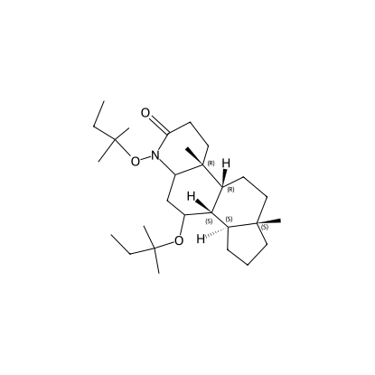 CCC(C)(C)OC1CC2N(OC(C)(C)CC)C(=O)CC[C@]2(C)[C@@H]2CC[C@]3(C)CCC[C@H]3[C@H]12